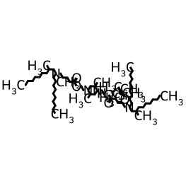 CCCCCCCCC(C)CN(CCCCC(=O)OCCN1CC(C)N(CCOC(=O)CCCCN(CC(C)CCCCCCCC)CC(CCCCCCCC)O[Si](C)(C)C(C)(C)C)CC1C)CC(C)CCCCCCCC